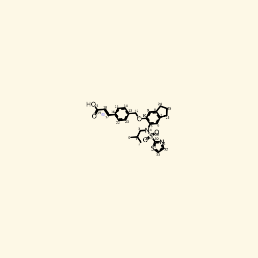 CC(C)CN(c1cc2c(cc1OCc1ccc(/C=C/C(=O)O)cc1)CCC2)S(=O)(=O)c1nccs1